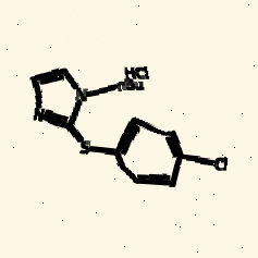 CCCCn1ccnc1Sc1ccc(Cl)cc1.Cl